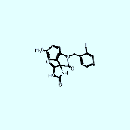 Cc1ccc2c(c1)C1(NC(=O)NC1=O)C(=O)N2Cc1ccccc1I